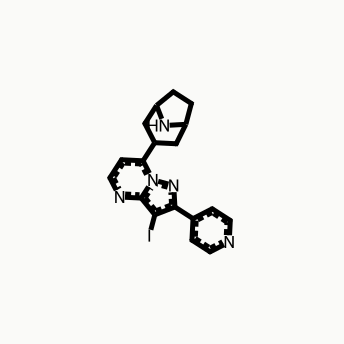 Ic1c(-c2ccncc2)nn2c(C3CC4CCC(C3)N4)ccnc12